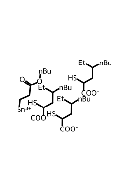 CCCCC(CC)CC(S)C(=O)[O-].CCCCC(CC)CC(S)C(=O)[O-].CCCCC(CC)CC(S)C(=O)[O-].CCCCOC(=O)C[CH2][Sn+3]